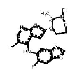 CCN1CCC[C@H](c2cc3c(Nc4cc5ncsc5cc4F)c(F)cnc3s2)[C@@H]1C